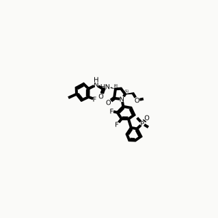 COC[C@@H]1C[C@@H](NC(=O)Nc2ccc(C)cc2F)C(=O)N1c1ccc(-c2ccccc2P(C)(C)=O)c(F)c1F